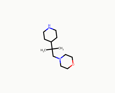 CC(C)(CN1CCOCC1)C1CCNCC1